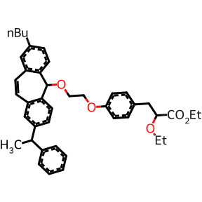 CCCCc1ccc2c(c1)C=Cc1cc(C(C)c3ccccc3)ccc1C2OCCOc1ccc(CC(OCC)C(=O)OCC)cc1